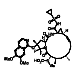 CCC(C)N(C(=O)O)[C@@H]1C(=O)N2[C@@H](C[C@@](C)(Oc3nccc4cc(OC)c(OC)cc34)C2(F)F)C(=O)N[C@]2(C(=O)NS(=O)(=O)C3CC3)C[C@H]2/C=C\CC[C@H](C)C[C@H]1C